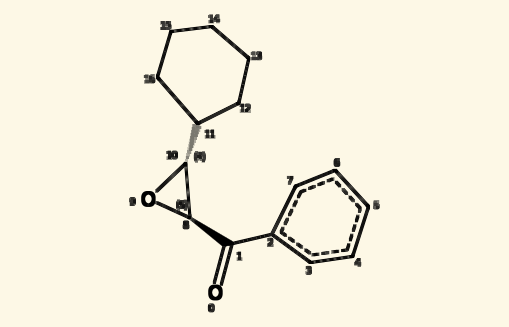 O=C(c1ccccc1)[C@H]1O[C@@H]1C1CCCCC1